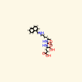 O=C[C@H](CCCCNCc1cccc2ccccc12)NC(=O)N[C@@H](CCC(=O)O)C(=O)O